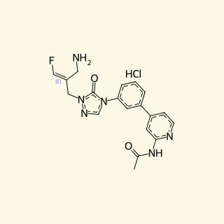 CC(=O)Nc1cc(-c2cccc(-n3cnn(C/C(=C/F)CN)c3=O)c2)ccn1.Cl